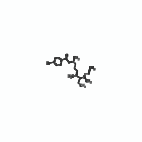 C=CCN(C)C(CC)/C(C)=C/CC/C(C)=C/C(=O)c1ccc(Br)cc1